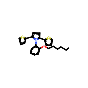 CCCCCCOc1ccccc1-n1c(-c2cccs2)ccc1-c1cccs1